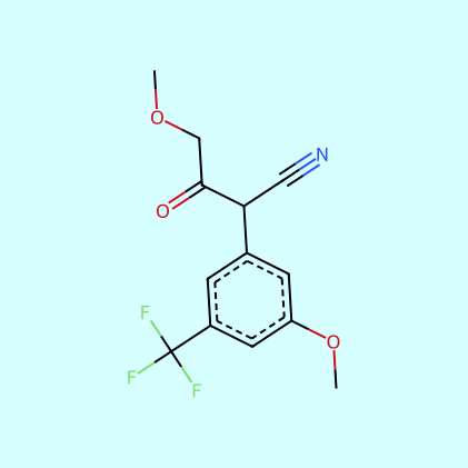 COCC(=O)C(C#N)c1cc(OC)cc(C(F)(F)F)c1